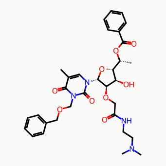 Cc1cn([C@@H]2O[C@H]([C@@H](C)OC(=O)c3ccccc3)[C@@H](O)[C@H]2OCC(=O)NCCN(C)C)c(=O)n(COCc2ccccc2)c1=O